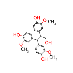 COc1cc(C(CO)C(c2ccc(O)c(OC)c2)c2ccc(O)c(OC)c2)ccc1O